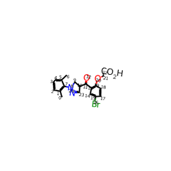 Cc1cccc(C)c1N1CC(C(=O)c2cc(Br)ccc2OCC(=O)O)C=N1